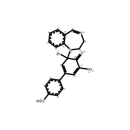 COc1ccc(C2=CC(C(C)C)(N3CCN=Cc4ccccc43)C(=O)C(N)=C2)cc1